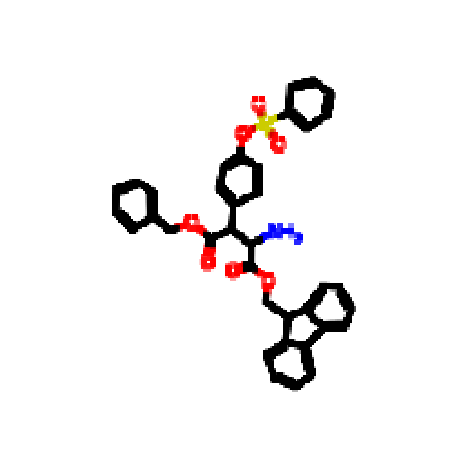 NC(C(=O)OCC1c2ccccc2-c2ccccc21)C(C(=O)OCc1ccccc1)c1ccc(OS(=O)(=O)c2ccccc2)cc1